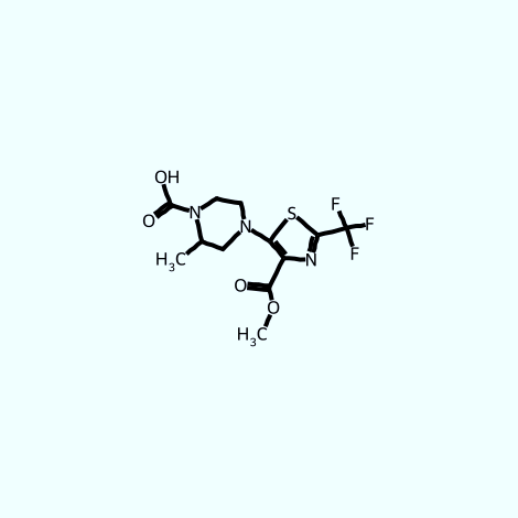 COC(=O)c1nc(C(F)(F)F)sc1N1CCN(C(=O)O)C(C)C1